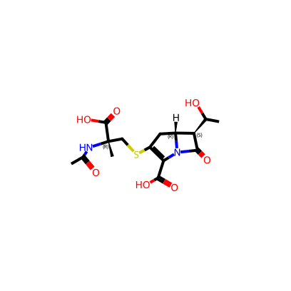 CC(=O)N[C@@](C)(CSC1=C(C(=O)O)N2C(=O)[C@H](C(C)O)[C@H]2C1)C(=O)O